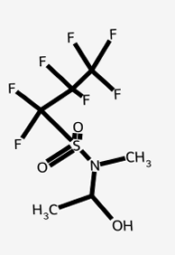 CC(O)N(C)S(=O)(=O)C(F)(F)C(F)(F)C(F)(F)F